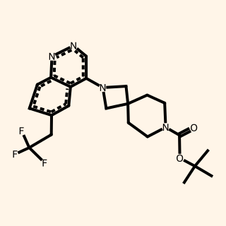 CC(C)(C)OC(=O)N1CCC2(CC1)CN(c1cnnc3ccc(CC(F)(F)F)cc13)C2